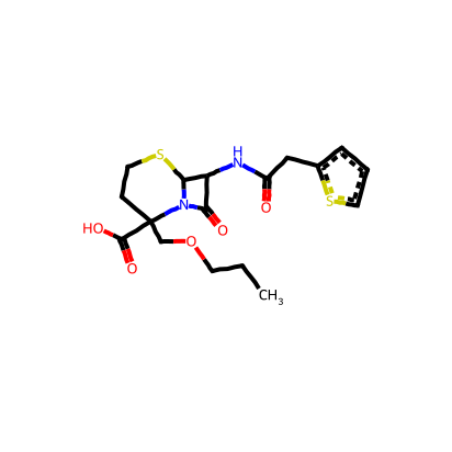 CCCOCC1(C(=O)O)CCSC2C(NC(=O)Cc3cccs3)C(=O)N21